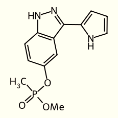 COP(C)(=O)Oc1ccc2[nH]nc(-c3ccc[nH]3)c2c1